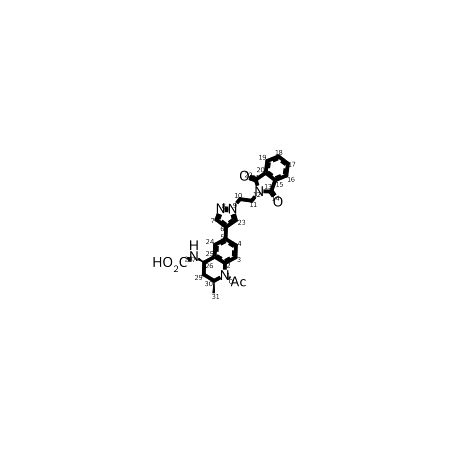 CC(=O)N1c2ccc(-c3cnn(CCN4C(=O)c5ccccc5C4=O)c3)cc2[C@H](NC(=O)O)C[C@@H]1C